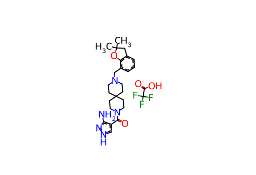 CC1(C)Cc2cccc(CN3CCC4(CC3)CCN(C(=O)c3c[nH]nc3N)CC4)c2O1.O=C(O)C(F)(F)F